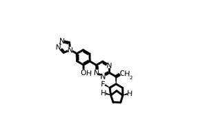 C=C(c1ncc(-c2ccc(-n3cnnc3)cc2O)nn1)[C@H]1C[C@@H]2CC[C@@H](C2)[C@H]1F